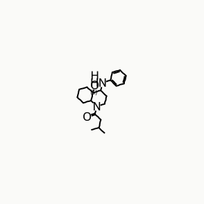 CC(C)CC(=O)N1CCC(Nc2ccccc2)[C@@]2(O)CCCCC12